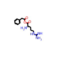 N=C(N)NCCC[C@H](N)C(=O)OC(=O)Cc1ccccc1